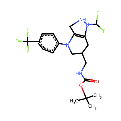 CC(C)(C)OC(=O)NCC1CC2=C(CNN2C(F)F)N(c2ccc(C(F)(F)F)cc2)C1